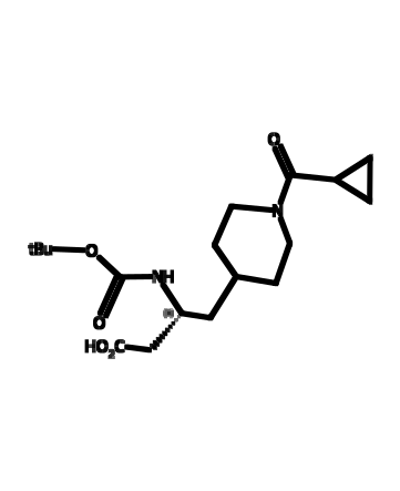 CC(C)(C)OC(=O)N[C@@H](CC(=O)O)CC1CCN(C(=O)C2CC2)CC1